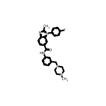 Cc1nc2ccc(C(=O)Nc3cccc(CN4CCN(C)CC4)c3)cc2n1-c1ccc(F)cc1